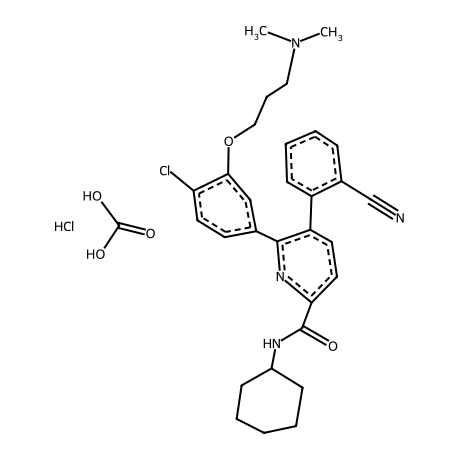 CN(C)CCCOc1cc(-c2nc(C(=O)NC3CCCCC3)ccc2-c2ccccc2C#N)ccc1Cl.Cl.O=C(O)O